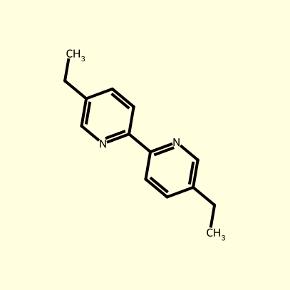 CCc1ccc(-c2ccc(CC)cn2)nc1